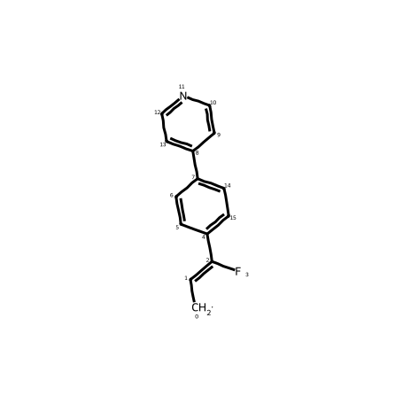 [CH2]/C=C(\F)c1ccc(-c2ccncc2)cc1